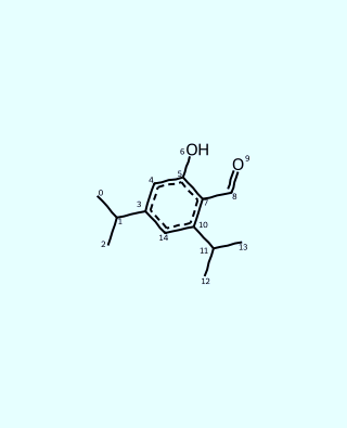 CC(C)c1cc(O)c(C=O)c(C(C)C)c1